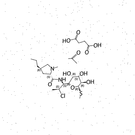 CC(C)=O.CCC[C@@H]1C[C@@H](C(=O)N[C@@H]([C@H]2O[C@H](SC)[C@H](O)[C@@H](O)[C@H]2O)[C@H](C)Cl)N(C)C1.O=C(O)CCC(=O)O